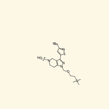 CC(C)(C)c1cc(-c2nn(COCC[Si](C)(C)C)c3c2CN(C(=O)O)CC3)sn1